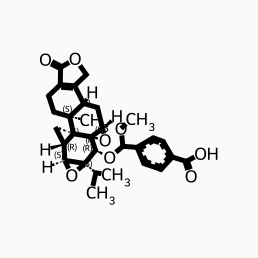 COC(O[C@@H]1[C@@]2(C(C)C)O[C@H]2[C@@H]2C[C@]23[C@]12O[C@H]2C[C@H]1C2=C(CC[C@@]13C)C(=O)OC2)c1ccc(C(=O)O)cc1